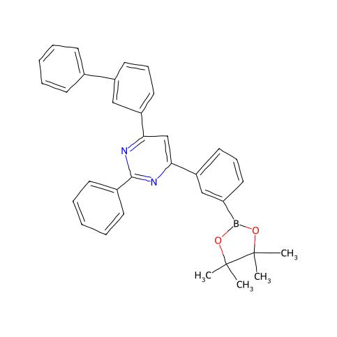 CC1(C)OB(c2cccc(-c3cc(-c4cccc(-c5ccccc5)c4)nc(-c4ccccc4)n3)c2)OC1(C)C